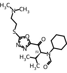 CC(C)[C@@H](C(=O)c1nnc(SCCN(C)C)o1)N(C=O)C1CCCCC1